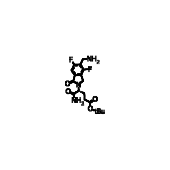 CC(C)(C)OC(=O)CC[C@@H](C(N)=O)N1Cc2c(cc(F)c(CN)c2F)C1=O